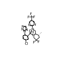 C[C@@H]1CC(F)(F)CN(C(=O)c2cc(Cl)ccc2-n2ncnn2)C1CNc1ncc(C(F)(F)F)cn1